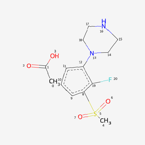 CC(=O)O.CS(=O)(=O)c1cccc(N2CCNCC2)c1F